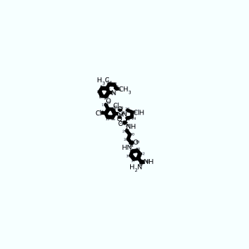 Cc1cc(C)c2cccc(OCc3c(Cl)ccc(S(=O)(=O)N4CCC[C@H]4C(=O)NCCCC(=O)Nc4ccc(C(=N)N)cc4)c3Cl)c2n1.Cl